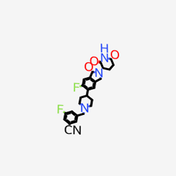 N#Cc1cc(F)cc(CN2CCC(c3cc4c(cc3F)C(=O)N(C3CCC(=O)NC3=O)C4)CC2)c1